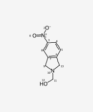 O=[N+]([O-])c1ccc2c(c1)CN(CO)C2